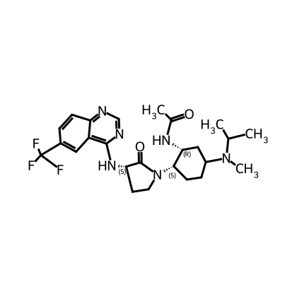 CC(=O)N[C@@H]1CC(N(C)C(C)C)CC[C@@H]1N1CC[C@H](Nc2ncnc3ccc(C(F)(F)F)cc23)C1=O